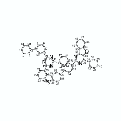 c1ccc(-c2cccc(-c3nc(-c4ccccc4)nc(-c4cccc5sc6ccc(-c7ccc(-c8nc(-c9ccccc9)c9oc%10ccccc%10c9n8)cc7)cc6c45)n3)c2)cc1